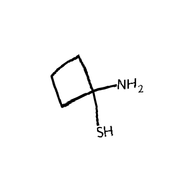 NC1(S)CCC1